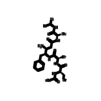 CCCCC(=O)N[C@@H](CC(C)C)C(=O)N[C@H](C(=O)N[C@@H](Cc1ccccc1)[C@@H](N)CC(=O)N[C@H](C(=O)NC(CC)CC)[C@@H](C)CC)C(C)C